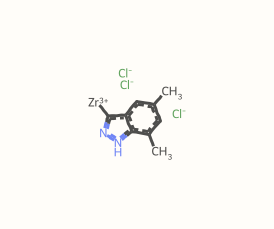 Cc1cc(C)c2[nH]n[c]([Zr+3])c2c1.[Cl-].[Cl-].[Cl-]